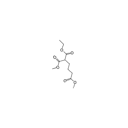 CCOC(=O)C(CCCC(=O)OC)C(=O)OC